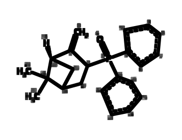 C=C1C(P(=O)(c2ccccc2)c2ccccc2)CC2C[C@@H]1C2(C)C